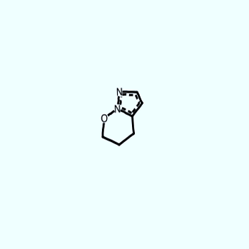 c1cc2n(n1)OCCC2